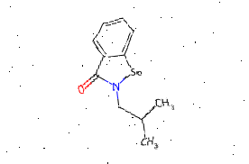 CC(C)Cn1[se]c2ccccc2c1=O